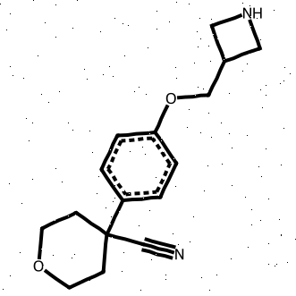 N#CC1(c2ccc(OCC3CNC3)cc2)CCOCC1